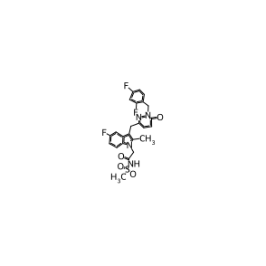 Cc1c(Cc2ccc(=O)n(Cc3ccc(F)cc3F)n2)c2cc(F)ccc2n1CC(=O)NS(C)(=O)=O